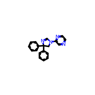 C1=NC(c2ccccc2)(c2ccccc2)CN1c1cnccn1